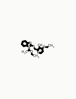 CCOC(C)n1c(SCc2nccc(SCC)c2C)nc2ccccc21